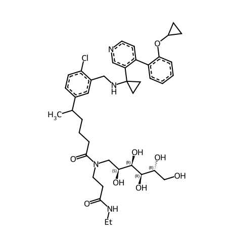 CCNC(=O)CCN(C[C@H](O)[C@@H](O)[C@H](O)[C@H](O)CO)C(=O)CCCC(C)c1ccc(Cl)c(CNC2(c3cnccc3-c3ccccc3OC3CC3)CC2)c1